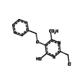 O=C(O)c1nc(CCl)nc(O)c1OCc1ccccc1